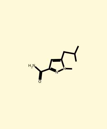 CC(C)Cc1cc(C(N)=O)nn1C